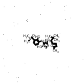 Cc1ccc([C@H](Nc2no[n+](O)c2Nc2cccc(C(=O)N(C)C)c2O)C(C)(C)C)o1